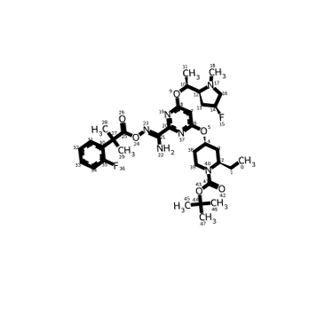 CC[C@@H]1C[C@@H](Oc2cc(O[C@@H](C)[C@@H]3C[C@H](F)CN3C)nc(/C(N)=N/OC(=O)C(C)(C)c3ccccc3F)n2)CCN1C(=O)OC(C)(C)C